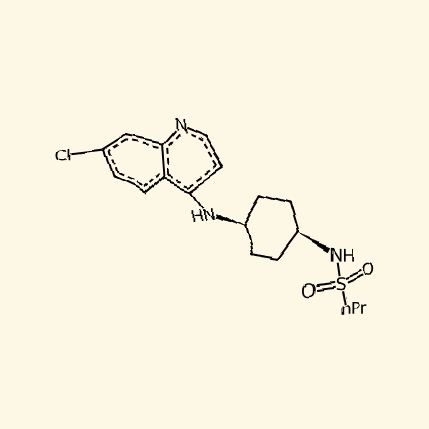 CCCS(=O)(=O)N[C@H]1CC[C@@H](Nc2ccnc3cc(Cl)ccc23)CC1